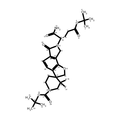 CC(C)(C)OC(=O)CC[C@@H](C(N)=O)N1Cc2c(ccc3c2OCC32CCN(C(=O)OC(C)(C)C)CC2(F)F)C1=O